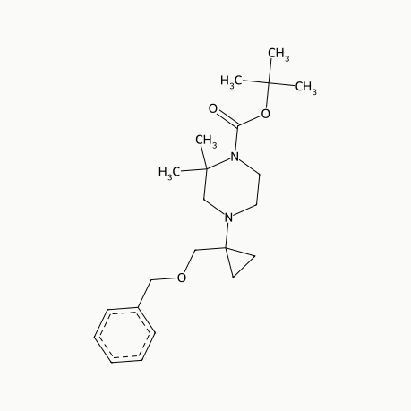 CC(C)(C)OC(=O)N1CCN(C2(COCc3ccccc3)CC2)CC1(C)C